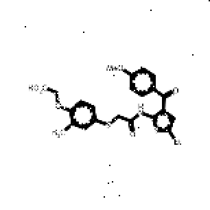 CCc1cc(C(=O)c2ccc(OC)cc2)c(NC(=O)CSc2ccc(OCC(=O)O)c(C)c2)s1